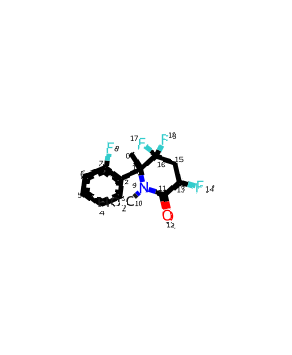 CC1(c2ccccc2F)N(C(=O)O)C(=O)C(F)CC1(F)F